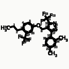 CCCc1ccc(OCc2c(C(F)(F)F)nsc2-c2ccc(C)cc2C)cc1C(F)(F)F